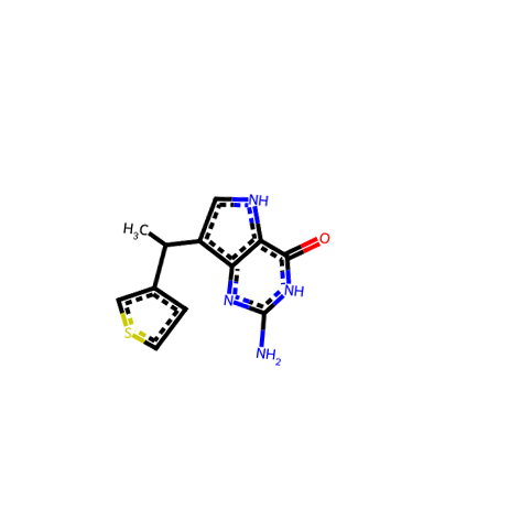 CC(c1ccsc1)c1c[nH]c2c(=O)[nH]c(N)nc12